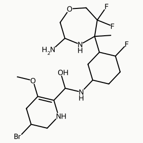 COC1=C(C(O)NC2CCC(F)C(C3(C)NC(N)COCC3(F)F)C2)NCC(Br)C1